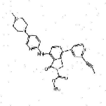 CC#Cc1cc(-c2ccc(Nc3ccc(N4CCN(C)CC4)cn3)c3c2CN(C(=O)OC(C)(C)C)C3=O)ccn1